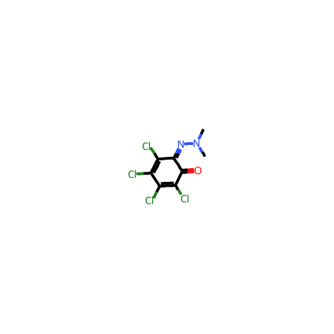 CN(C)N=C1C(=O)C(Cl)=C(Cl)C(Cl)=C1Cl